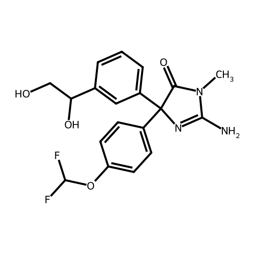 CN1C(=O)C(c2ccc(OC(F)F)cc2)(c2cccc(C(O)CO)c2)N=C1N